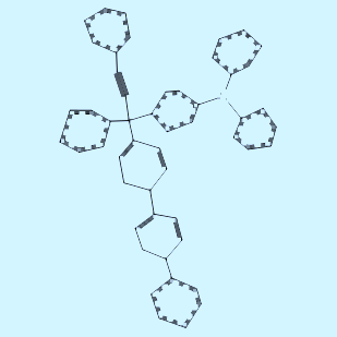 C(#CC(C1=CCC(C2=CCC(c3ccccc3)C=C2)C=C1)(c1ccccc1)c1ccc(N(c2ccccc2)c2ccccc2)cc1)c1ccccc1